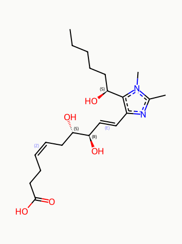 CCCCC[C@H](O)c1c(/C=C/[C@@H](O)[C@@H](O)C/C=C\CCC(=O)O)nc(C)n1C